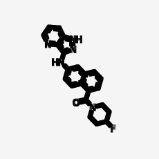 O=C(c1cccc2cc(Nc3n[nH]c4cccnc34)ccc12)N1CCC(F)CC1